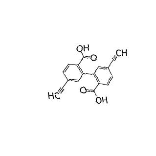 C#Cc1ccc(C(=O)O)c(-c2cc(C#C)ccc2C(=O)O)c1